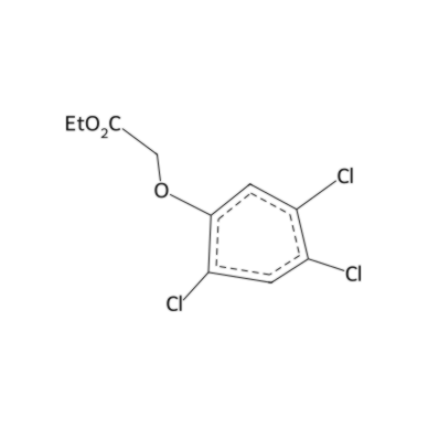 CCOC(=O)COc1cc(Cl)c(Cl)cc1Cl